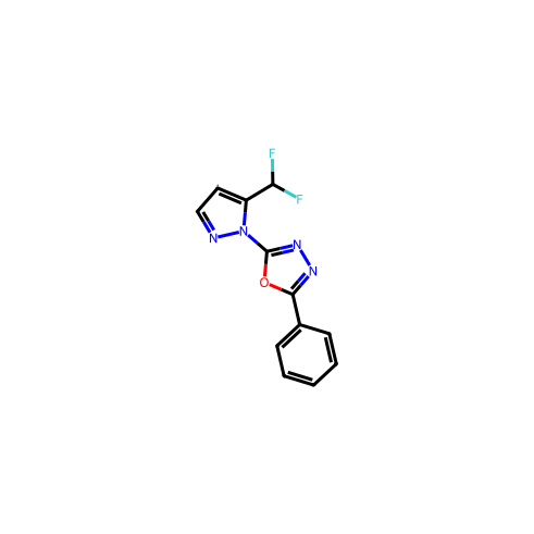 FC(F)c1[c]cnn1-c1nnc(-c2ccccc2)o1